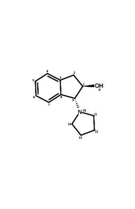 O[C@@H]1Cc2ccccc2[C@H]1N1CCCC1